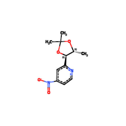 C[C@H]1OC(C)(C)O[C@@H]1c1cc([N+](=O)[O-])ccn1